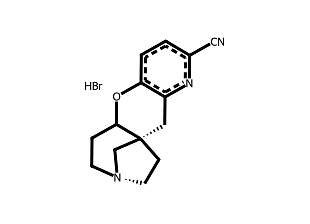 Br.N#Cc1ccc2c(n1)C[C@@]13CC[N@](CCC1O2)C3